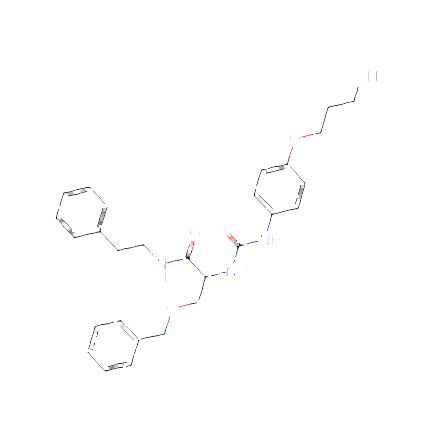 CCCCOc1ccc(NC(=O)NC(COCc2ccccc2)C(=O)NCCc2ccccc2)cc1